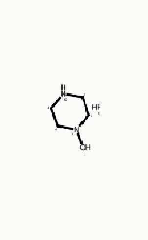 F.ON1CCNCC1